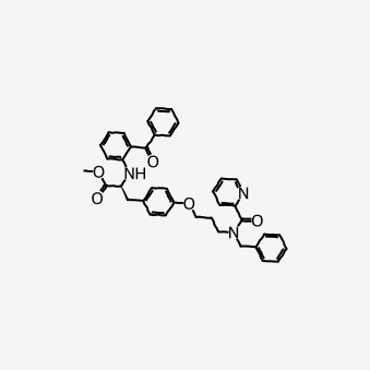 COC(=O)[C@H](Cc1ccc(OCCCN(Cc2ccccc2)C(=O)c2ccccn2)cc1)Nc1ccccc1C(=O)c1ccccc1